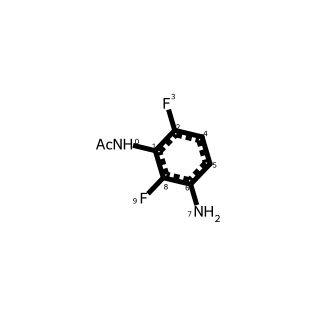 CC(=O)Nc1c(F)ccc(N)c1F